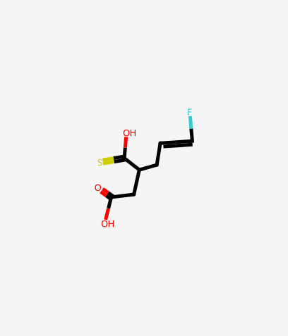 O=C(O)CC(CC=CF)C(O)=S